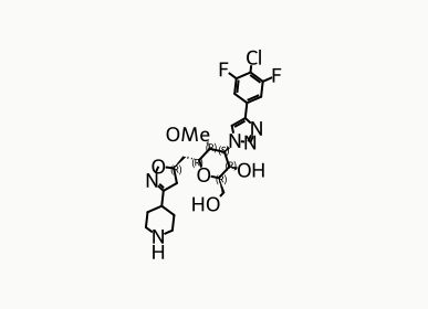 CO[C@@H]1[C@@H](n2cc(-c3cc(F)c(Cl)c(F)c3)nn2)[C@@H](O)[C@@H](CO)O[C@@H]1C[C@H]1CC(C2CCNCC2)=NO1